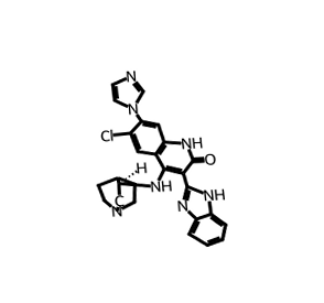 O=c1[nH]c2cc(-n3ccnc3)c(Cl)cc2c(N[C@H]2CN3CCC2CC3)c1-c1nc2ccccc2[nH]1